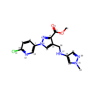 COC(=O)c1nn(-c2ccc(Cl)nc2)cc1CNc1cnn(C)c1